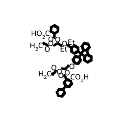 C=CC(=O)OCC(COc1ccc(C2(c3ccc(C(CC)(CC)OCC(COC(=O)C=C)OC(=O)C4CC=CCC4C(=O)O)cc3)c3ccccc3-c3ccccc32)cc1)OC(=O)c1cc(C2=CCCC=C2)ccc1C(=O)O